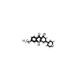 COc1ccc2c(=O)c3c([nH]c2c1)CC(C1CCOCC1)CC3=O